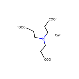 O=C([O-])CCN(CCC(=O)[O-])CCC(=O)[O-].[Cu+3]